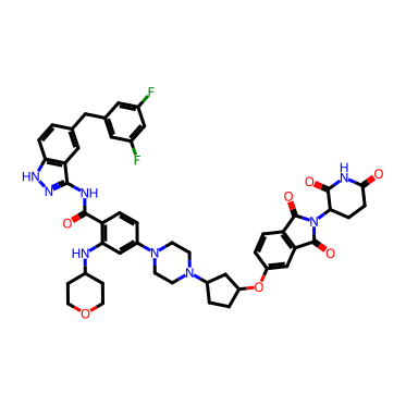 O=C1CCC(N2C(=O)c3ccc(OC4CCC(N5CCN(c6ccc(C(=O)Nc7n[nH]c8ccc(Cc9cc(F)cc(F)c9)cc78)c(NC7CCOCC7)c6)CC5)C4)cc3C2=O)C(=O)N1